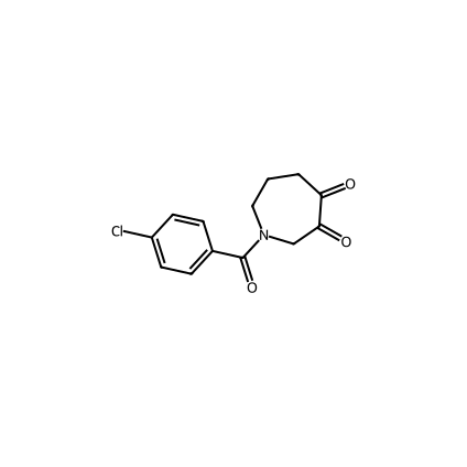 O=C1CCCN(C(=O)c2ccc(Cl)cc2)CC1=O